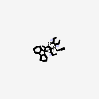 C#CCN1C(/C=C\C)=C(C(C)C2(C(C)CC)c3ccccc3-c3ccccc32)OC(=C/C)/C1=C\C